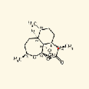 C[C@@H]1CC[C@H]2[C@@H](C)C(=O)O[C@@H]3O[C@@H](C)CC[C@@H]1[C@]32OO